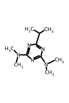 CC(C)c1nc(N(C)C)nc(N(C)C)n1